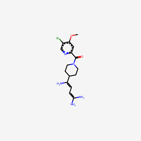 COc1cc(C(=O)N2CCC(/C(N)=C/C=C(N)N)CC2)ncc1Br